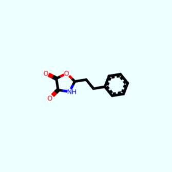 O=C1NC(CCc2ccccc2)OC1=O